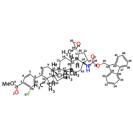 COC(=O)c1ccc(C2=CC[C@]3(C)[C@H]4CC[C@@H]5[C@H]6[C@H](C7(C)CO7)CC[C@]6(NC(=O)OCC6c7ccccc7-c7ccccc76)CC[C@@]5(C)[C@]4(C)CC[C@H]3C2(C)C)cc1F